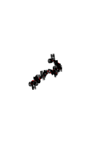 Cn1nc(C2CCC(=O)NC2=O)c2cccc(C#CCO[C@H]3CCN(C[C@H]4CC[C@H](n5cc(NC(=O)c6cnn7ccc(N8CC(NC9COC9)C8)nc67)c(C(F)F)n5)CC4)C[C@H]3F)c21